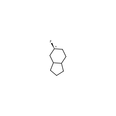 F[C@H]1CCC2CCCC2C1